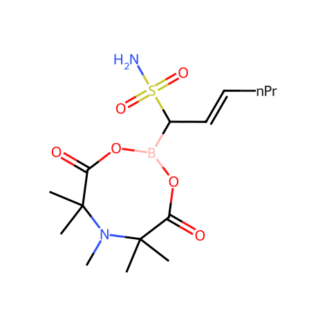 CCC/C=C/C(B1OC(=O)C(C)(C)N(C)C(C)(C)C(=O)O1)S(N)(=O)=O